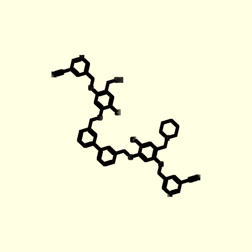 N#Cc1cncc(COc2cc(OCc3cccc(-c4cccc(COc5cc(OCc6cncc(C#N)c6)c(CN6CCCCC6)cc5Cl)c4)c3)c(Cl)cc2CO)c1